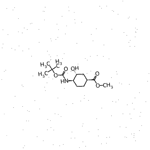 COC(=O)[C@H]1CC[C@@H](NC(=O)OC(C)(C)C)[C@H](O)C1